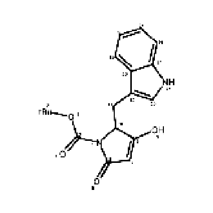 CC(C)(C)OC(=O)N1C(=O)C=C(O)C1Cc1c[nH]c2ccccc12